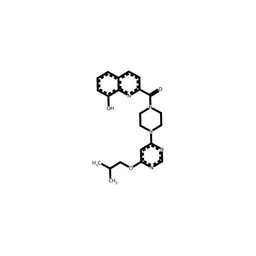 CC(C)COc1cc(N2CCN(C(=O)c3ccc4cccc(O)c4n3)CC2)ncn1